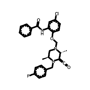 C[C@@H]1C(=C=O)N(Cc2ccc(F)cc2)[C@@H](C)CN1COc1ccc(Cl)cc1NC(=O)c1ccccc1